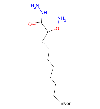 CCCCCCCCCCCCCCCCC(ON)C(=O)NN